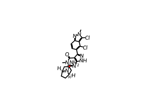 Cn1nc2ccc(-c3n[nH]c4nc(N5[C@@H]6CC[C@H]5C[C@@H](N)C6)n(C)c(=O)c34)c(Cl)c2c1Cl